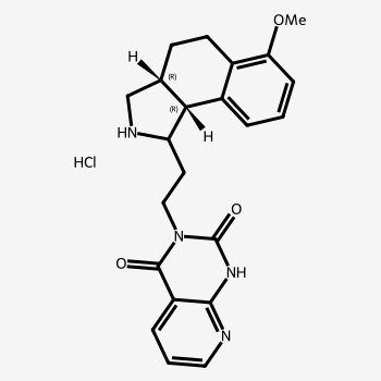 COc1cccc2c1CC[C@H]1CNC(CCn3c(=O)[nH]c4ncccc4c3=O)[C@@H]21.Cl